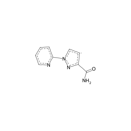 NC(=O)c1[c]cn(-c2ccccn2)n1